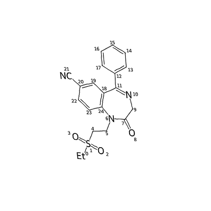 CCS(=O)(=O)CCN1C(=O)CN=C(c2ccccc2)c2cc(C#N)ccc21